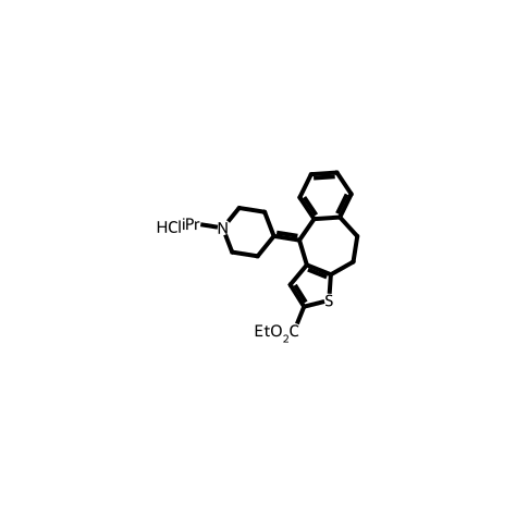 CCOC(=O)c1cc2c(s1)CCc1ccccc1C2=C1CCN(C(C)C)CC1.Cl